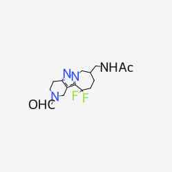 CC(=O)NCC1CCC(F)(F)c2c3c(nn2C1)CCN(C=O)C3